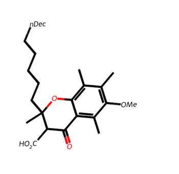 CCCCCCCCCCCCCCCC1(C)Oc2c(C)c(C)c(OC)c(C)c2C(=O)C1C(=O)O